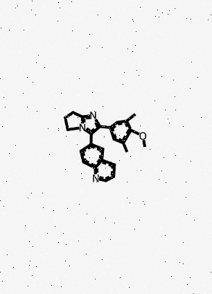 COc1c(C)cc(-c2nc3n(c2-c2ccc4ncccc4c2)CCC3)cc1C